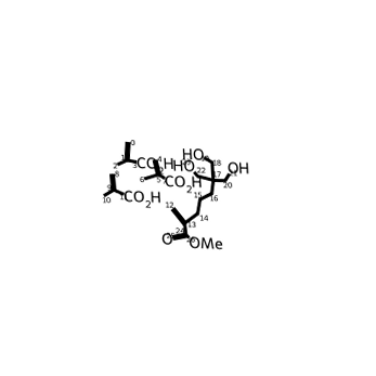 C=C(C)C(=O)O.C=C(C)C(=O)O.C=C(C)C(=O)O.C=C(CCCC(CO)(CO)CO)C(=O)OC